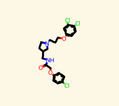 O=C(COc1ccc(Cl)cc1)NCC1CCN(CCCOc2ccc(Cl)c(Cl)c2)C1